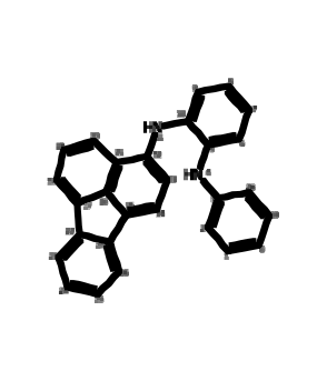 c1ccc(Nc2ccccc2Nc2ccc3c4c(cccc24)-c2ccccc2-3)cc1